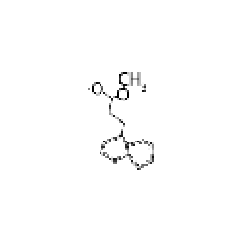 COC([O])CCc1cccc2ccccc12